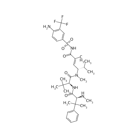 CN[C@H](C(=O)N[C@H](C(=O)N(C)[C@H](/C=C(\C)C(=O)NS(=O)(=O)c1ccc(N)c(C(F)(F)F)c1)C(C)C)C(C)(C)C)C(C)(C)c1ccccc1